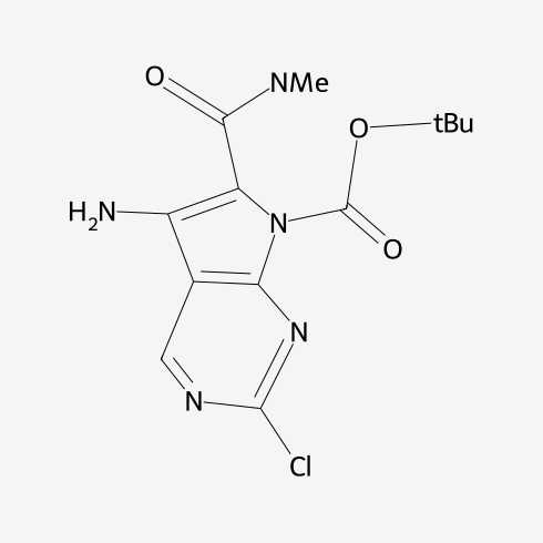 CNC(=O)c1c(N)c2cnc(Cl)nc2n1C(=O)OC(C)(C)C